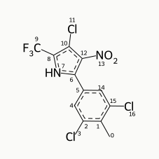 Cc1c(Cl)cc(-c2[nH]c(C(F)(F)F)c(Cl)c2[N+](=O)[O-])cc1Cl